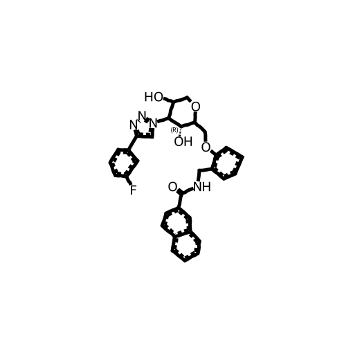 O=C(NCc1ccccc1OCC1OCC(O)C(n2cc(-c3cccc(F)c3)nn2)[C@H]1O)c1ccc2ccccc2c1